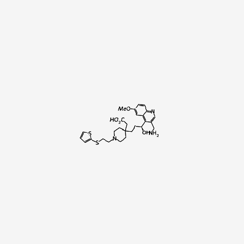 COc1ccc2ncc(CN)c([C@@H](O)CCC3(CC(=O)O)CCN(CCSc4cccs4)CC3)c2c1